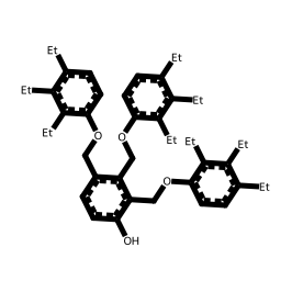 CCc1ccc(OCc2ccc(O)c(COc3ccc(CC)c(CC)c3CC)c2COc2ccc(CC)c(CC)c2CC)c(CC)c1CC